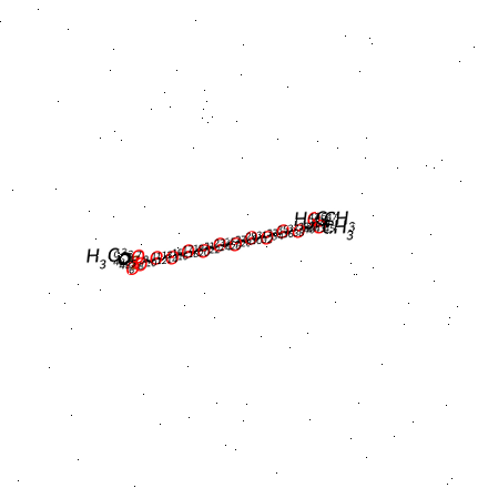 Cc1ccc(S(=O)(=O)OCCOCCOCCOCCOCCOCCOCCOCCOCCOCCOCCC(=O)OC(C)(C)C)cc1